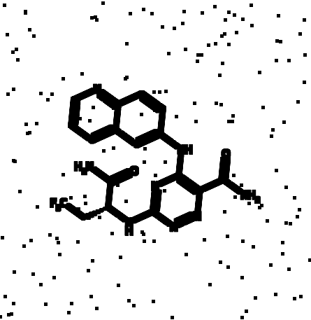 NC(=O)c1nnc(N[C@H](CC(F)(F)F)C(N)=O)nc1Nc1ccc2ncccc2c1